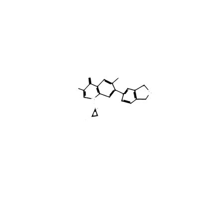 O=C(O)c1cn([C@@H]2C[C@@H]2F)c2cc(-c3ccc4c(c3)CNC4)c(F)cc2c1=O